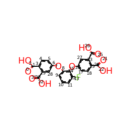 O=C(O)c1ccc(Oc2cccc(F)c2Oc2ccc(C(=O)O)c(C(=O)O)c2)cc1C(=O)O